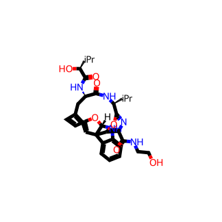 CC(C)[C@H](O)C(=O)N[C@H]1Cc2ccc3c(c2)C2(c4ccccc4N[C@H]2O3)c2oc(nc2C(=O)NCCO)[C@H](C(C)C)NC1=O